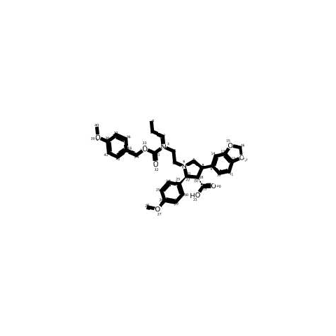 CCCN(CCN1CC(c2ccc3c(c2)OCO3)[C@H](C(=O)O)[C@H]1c1ccc(OC)cc1)C(=O)OCc1ccc(OC)cc1